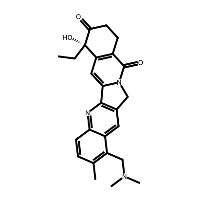 CC[C@@]1(O)C(=O)CCc2c1cc1n(c2=O)Cc2cc3c(CN(C)C)c(C)ccc3nc2-1